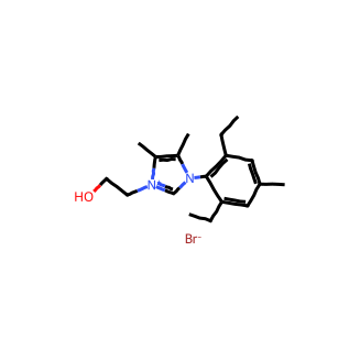 CCc1cc(C)cc(CC)c1-n1c[n+](CCO)c(C)c1C.[Br-]